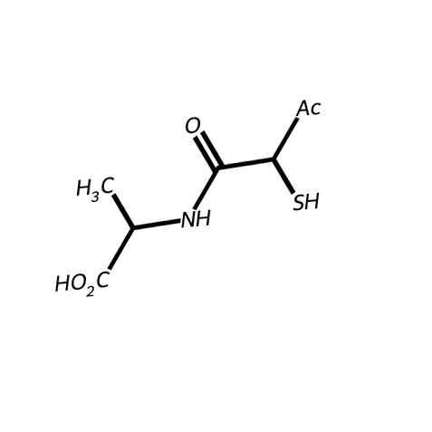 CC(=O)C(S)C(=O)NC(C)C(=O)O